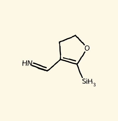 N=CC1=C([SiH3])OCC1